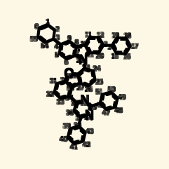 C1=CCC(c2ccc3c(c2)c2ccc(-c4ccccc4)cc2n3-c2cccc3c2oc2cccc(-c4cc(-c5ccccc5)nc(-c5ccccc5)n4)c23)C=C1